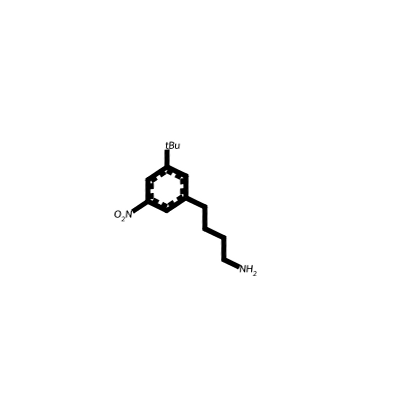 CC(C)(C)c1cc(CCCCN)cc([N+](=O)[O-])c1